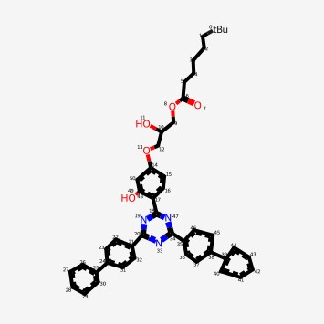 CC(C)(C)CCCCCC(=O)OCC(O)COc1ccc(-c2nc(-c3ccc(-c4ccccc4)cc3)nc(-c3ccc(-c4ccccc4)cc3)n2)c(O)c1